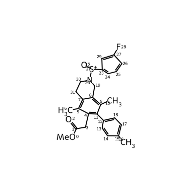 COC(=O)Cc1c(C)c2c(c(C)c1-c1ccc(C)cc1)CN([S+]([O-])c1cccc(F)c1)CC2